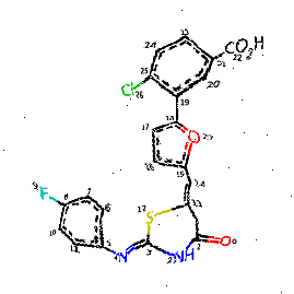 O=C1N/C(=N/c2ccc(F)cc2)S/C1=C\c1ccc(-c2cc(C(=O)O)ccc2Cl)o1